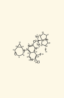 [2H]C([2H])(Oc1nc(N2CCOCC3CC32)c2cnc(Cl)c(F)c2n1)[C@@]12CCCN1C[C@H](F)C2